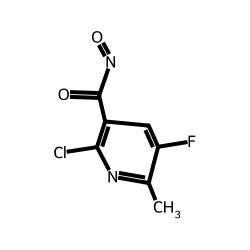 Cc1nc(Cl)c(C(=O)N=O)cc1F